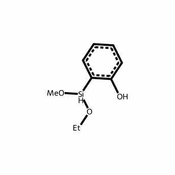 CCO[SiH](OC)c1ccccc1O